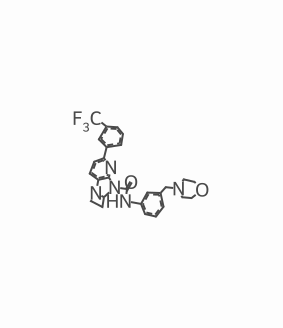 O=C(Nc1cccc(CN2CCOCC2)c1)N1c2nc(-c3cccc(C(F)(F)F)c3)ccc2N2CCC21